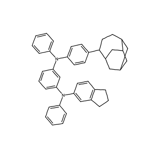 c1ccc(N(c2ccc(C3CCC4CC5CC4CC3C5)cc2)c2cccc(N(c3ccccc3)c3ccc4c(c3)CCC4)c2)cc1